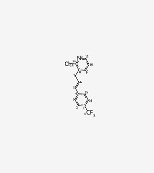 FC(F)(F)c1ccc(C=CCc2[c]ccnc2Cl)cc1